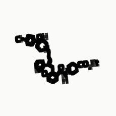 CCOC(=O)C1CCN(NC(=O)c2cccc3c2C/C(=C/CCN2CCC(O)(c4ccc(Cl)cc4)CC2)c2cccnc2O3)CC1